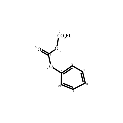 CCOC(=O)OC(=O)Oc1ccccc1